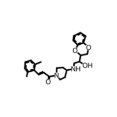 Cc1cccc(C)c1C=CC(=O)N1CCC(NCC(O)C2COc3ccccc3O2)CC1